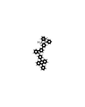 Cc1ccccc1N(c1ccc(-c2ccc3c(c2)c2ccccc2n3-c2ccc(-c3c4ccccc4c(-c4ccccc4)c4ccccc34)cc2)cc1)c1ccccc1C